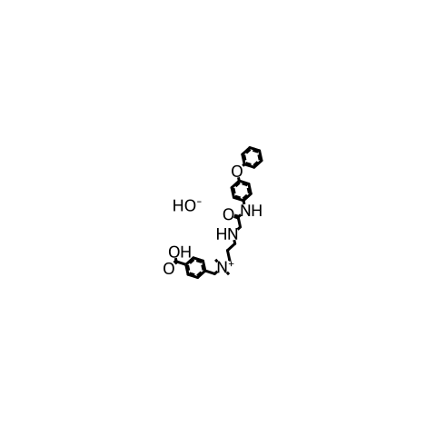 C[N+](C)(CCCNCC(=O)Nc1ccc(Oc2ccccc2)cc1)Cc1ccc(C(=O)O)cc1.[OH-]